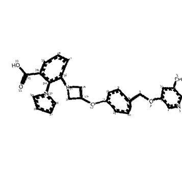 Cc1cncc(OCc2ccc(OC3CN(c4cccc(C(=O)O)c4-n4cccc4)C3)cc2)c1